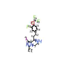 CCc1nc(I)c2n1CCNC2CCc1ccc(OC(F)F)c(F)c1